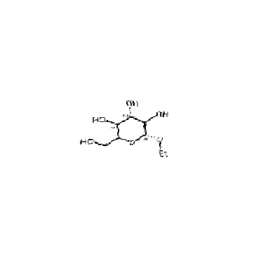 CCO[C@@H]1OC(CO)[C@@H](O)[C@H](O)C1O